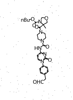 CCCCOC(=O)N1COCC1(C)C(=O)N1CCN(C(=O)Nc2ccn(-c3ccc(CC=O)cc3)c(=O)n2)CC1